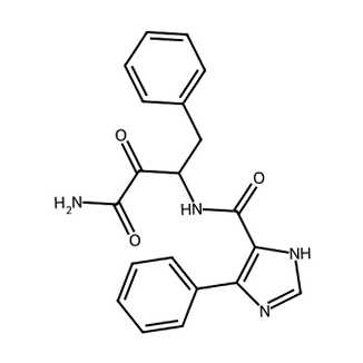 NC(=O)C(=O)C(Cc1ccccc1)NC(=O)c1[nH]cnc1-c1ccccc1